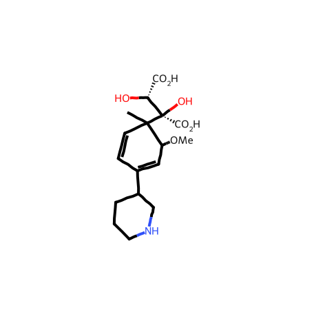 COC1C=C(C2CCCNC2)C=CC1(C)[C@@](O)(C(=O)O)[C@H](O)C(=O)O